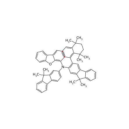 CC1(C)CCC(C)(C)c2c(-c3cc4c(cc3N(c3ccc5c(c3)C(C)(C)c3ccccc3-5)c3cccc5c3oc3ccccc35)C(C)(C)c3ccccc3-4)cccc21